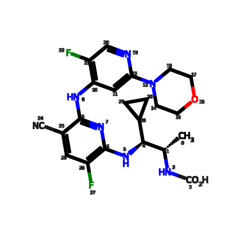 C[C@H](NC(=O)O)[C@@H](Nc1nc(Nc2cc(N3CCOCC3)ncc2F)c(C#N)cc1F)C1CC1